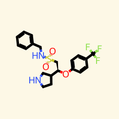 O=S(=O)(C[C@@H](Oc1ccc(C(F)(F)F)cc1)C1CCNC1)NCc1ccccc1